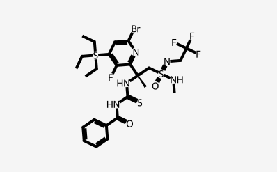 CCS(CC)(CC)c1cc(Br)nc([C@](C)(CS(=O)(=NCC(F)(F)F)NC)NC(=S)NC(=O)c2ccccc2)c1F